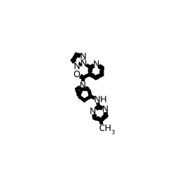 Cc1cnc(NC2CC3CC2N(C(=O)c2cccnc2-n2nccn2)C3)nc1